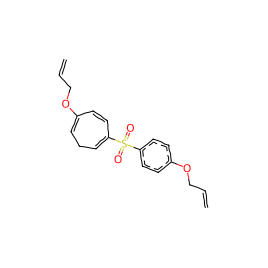 C=CCOC1=CCC=C(S(=O)(=O)c2ccc(OCC=C)cc2)C=C1